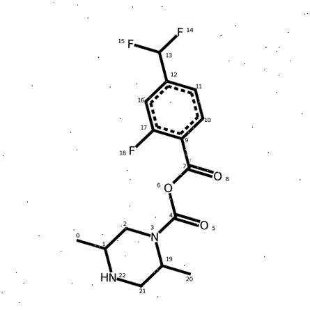 CC1CN(C(=O)OC(=O)c2ccc(C(F)F)cc2F)C(C)CN1